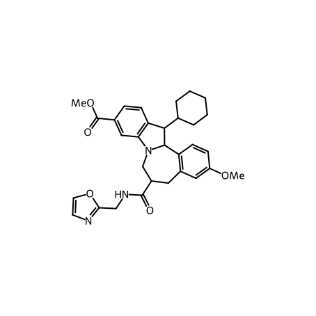 COC(=O)c1ccc2c(c1)N1CC(C(=O)NCc3ncco3)Cc3cc(OC)ccc3C1C2C1CCCCC1